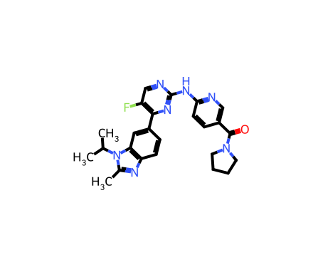 Cc1nc2ccc(-c3nc(Nc4ccc(C(=O)N5CCCC5)cn4)ncc3F)cc2n1C(C)C